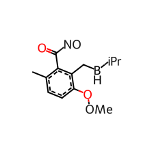 COOc1ccc(C)c(C(=O)N=O)c1CBC(C)C